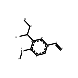 C=Cc1ccc(OC)c(C(I)CC)c1